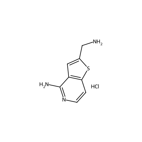 Cl.NCc1cc2c(N)nccc2s1